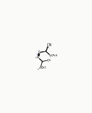 CCCCCCCCC(C#N)/N=N\C(C#N)CCCCCCCC